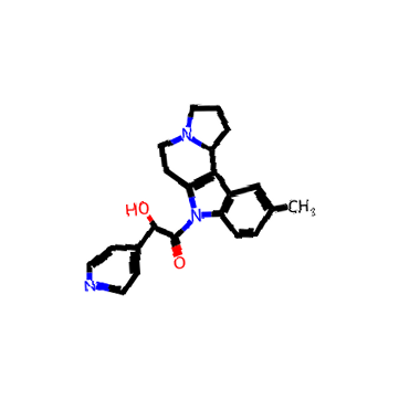 Cc1ccc2c(c1)c1c(n2C(=O)C(O)c2ccncc2)CCN2CCCC12